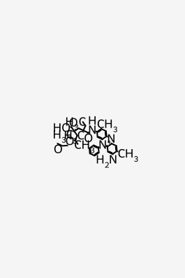 CCC(C)(CC(C)(CC(C)OCC1CO1)C(=O)O)C(=O)Nc1cc2c(cc1C)nc1cc(C)c(N)cc1[n+]2-c1ccccc1